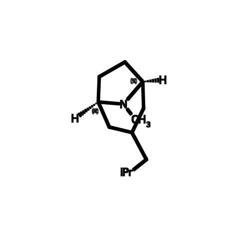 CC(C)CC1C[C@H]2CC[C@@H](C1)N2C